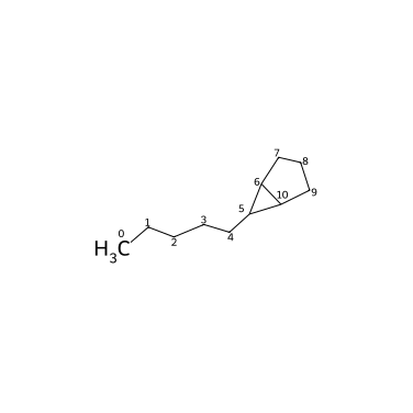 CCCCCC1C2CCCC12